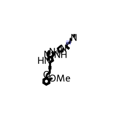 C=C(/C=C/CN(C)C)N1CC[C@@H](Nc2ncnc3[nH]c(C#CCOc4ccccc4OC)cc23)C1